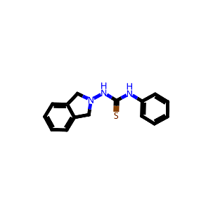 S=C(Nc1ccccc1)NN1Cc2ccccc2C1